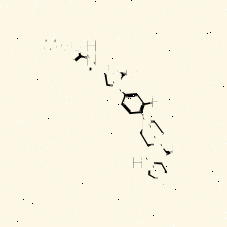 COC(=S)NC[C@H]1CN(c2ccc(N3CCN(C(=O)[C@@H]4CSCN4)CC3)c(F)c2)C(=O)O1